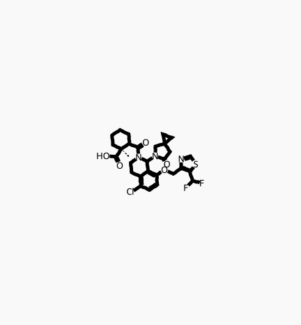 C[C@]1(C(=O)O)CCCCC1C(=O)N1CCc2c(Cl)ccc(OCc3ncsc3C(F)F)c2C1N1CC2(CC2)CC1=O